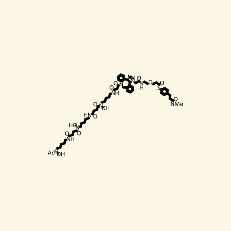 CNC(=O)CCc1ccc(SC(=O)CCOCCNC(=O)CN2N=NC3c4ccccc4N(C(=O)CC(=O)NCCCCCN(O)C(=O)CCC(=O)NCCCCCN(O)C(=O)CCC(=O)NCCCCCN(O)C(C)=O)Cc4ccccc4C32)cc1